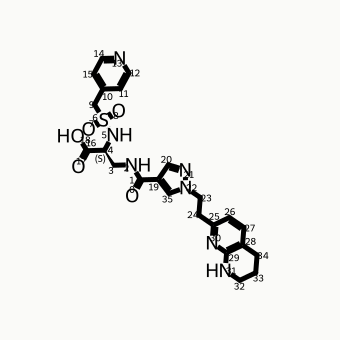 O=C(NC[C@H](NS(=O)(=O)Cc1ccncc1)C(=O)O)c1cnn(CCc2ccc3c(n2)NCCC3)c1